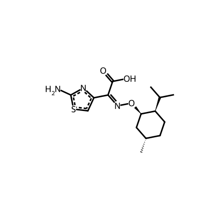 CC(C)[C@H]1CC[C@H](C)C[C@H]1ON=C(C(=O)O)c1csc(N)n1